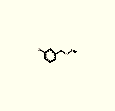 [CH]=NOCc1cccc(Cl)c1